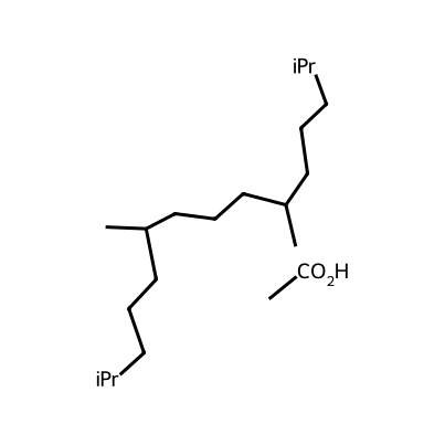 CC(=O)O.CC(C)CCCC(C)CCCC(C)CCCC(C)C